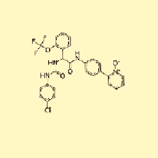 O=C(Nc1ccc(Cl)cc1)NC(C(=O)Nc1ccc(-c2cccc[n+]2[O-])cc1)c1ccccc1OC(F)(F)F